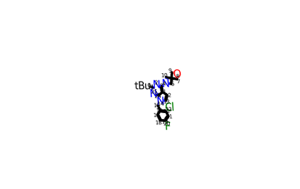 CC(C)(C)c1nc(N2CC3(COC3)C2)c2ccn(Cc3ccc(F)cc3Cl)c2n1